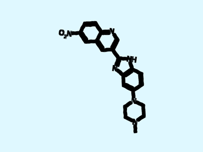 CN1CCN(c2ccc3[nH]c(-c4cnc5ccc([N+](=O)[O-])cc5c4)nc3c2)CC1